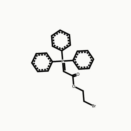 O=C(C=P(c1ccccc1)(c1ccccc1)c1ccccc1)OCCBr